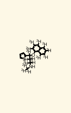 [2H]c1c([2H])c([2H])c2c(OC([2H])(c3cccs3)C([2H])([2H])C([2H])([2H])NC([2H])([2H])[2H])c([2H])c([2H])c([2H])c2c1[2H]